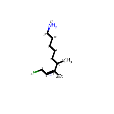 CC/C(=C/CF)C(C)CCCCCN